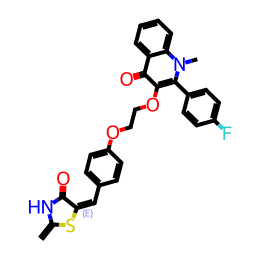 C=c1[nH]c(=O)/c(=C\c2ccc(OCCOc3c(-c4ccc(F)cc4)n(C)c4ccccc4c3=O)cc2)s1